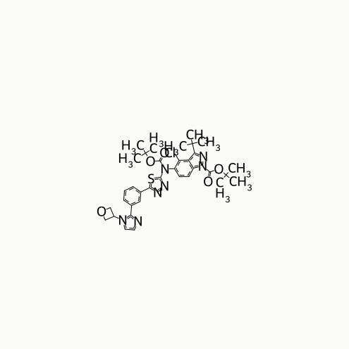 CC(C)(C)OC(=O)N(c1nnc(-c2cccc(-c3nccn3C3COC3)c2)s1)c1ccc2c(c(C(C)(C)C)nn2C(=O)OC(C)(C)C)c1Cl